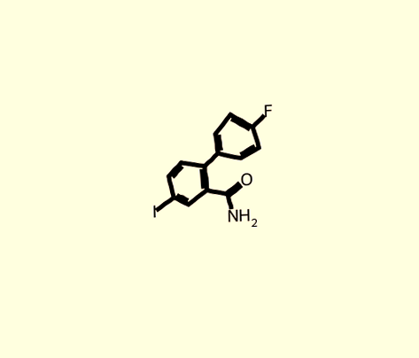 NC(=O)c1cc(I)ccc1-c1ccc(F)cc1